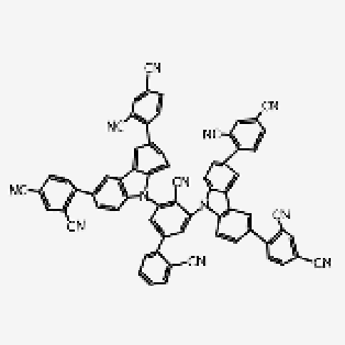 N#Cc1ccc(-c2ccc3c(c2)c2cc(-c4ccc(C#N)cc4C#N)ccc2n3-c2cc(-c3ccccc3C#N)cc(-n3c4ccc(-c5ccc(C#N)cc5C#N)cc4c4cc(-c5ccc(C#N)cc5C#N)ccc43)c2C#N)c(C#N)c1